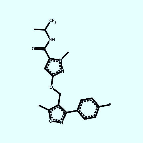 Cc1onc(-c2ccc(F)cc2)c1COc1cc(C(=O)NC(C)C(F)(F)F)n(C)n1